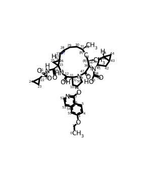 CCOc1ccc2c(O[C@@H]3C[C@H]4C(=O)N[C@]5(C(=O)NS(=O)(=O)C6CC6)C[C@H]5/C=C\CC[C@@H](C)C[C@@H](C)[C@H](N(C(=O)O)[C@H]5CC6C[C@H]6C5)C(=O)N4C3)nccc2c1